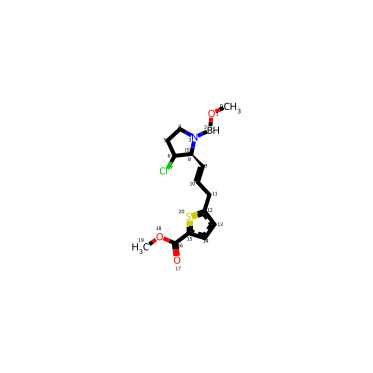 COBN1CCC(Cl)[C@@H]1C=CCc1ccc(C(=O)OC)s1